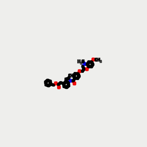 COc1ccc2c(c1)N(C)CC(COc1ccc(C(=O)n3c(C)cc4c(CC(=O)OCc5ccccc5)cccc43)cc1)O2